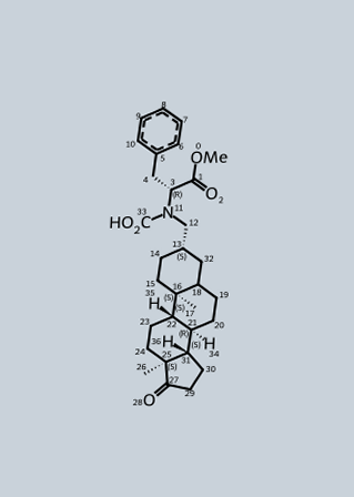 COC(=O)[C@@H](Cc1ccccc1)N(C[C@H]1CC[C@@]2(C)C(CC[C@@H]3[C@@H]2CC[C@]2(C)C(=O)CC[C@@H]32)C1)C(=O)O